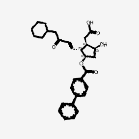 O=C(O)C[C@@H]1[C@@H](C=CC(=O)CC2CCCCC2)[C@H](OC(=O)c2ccc(-c3ccccc3)cc2)C[C@@H]1O